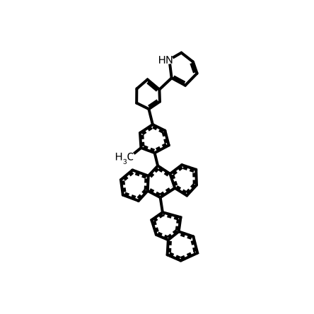 Cc1cc(C2=CC(C3=CC=CCN3)=CCC2)ccc1-c1c2ccccc2c(-c2ccc3ccccc3c2)c2ccccc12